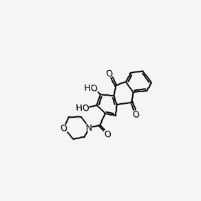 O=C1c2ccccc2C(=O)c2c1cc(C(=O)N1CCOCC1)c(O)c2O